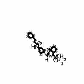 CN(C)c1nc(NC2CCC(NC(=O)CCc3ccccc3)CC2)nc2c1CCCC2